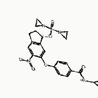 O=C(NC1CC1)c1ccc(Oc2cc3c(cc2[N+](=O)[O-])CC[C@@H]3OP(=O)(N2CC2)N2CC2)cc1